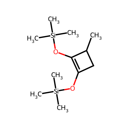 CC1CC(O[Si](C)(C)C)=C1O[Si](C)(C)C